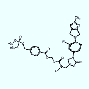 CCCCOP(=O)(OCCCC)OCc1ccc(C(=O)OCOC(=O)N(C[C@H]2CN(c3ccc(N4Cc5cn(C)nc5C4)c(F)c3)C(=O)O2)C(C)=O)cc1